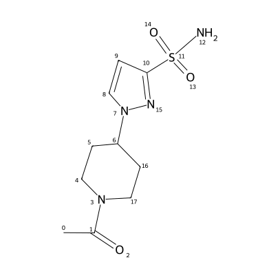 CC(=O)N1CCC(n2ccc(S(N)(=O)=O)n2)CC1